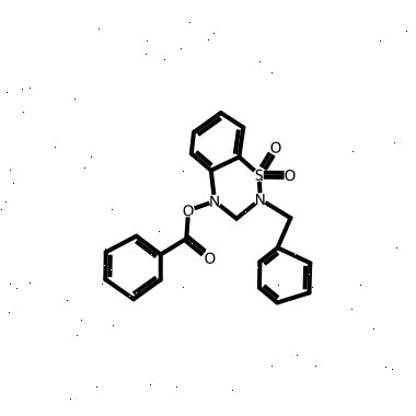 O=C(ON1CN(Cc2ccccc2)S(=O)(=O)c2ccccc21)c1ccccc1